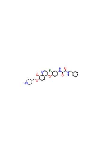 COc1c(OCC2CCNCC2)ccc2c(Oc3ccc(NC(=O)C(=O)NCc4ccccc4)cc3F)ccnc12